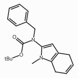 Cn1c(N(Cc2ccccc2)C(=O)OC(C)(C)C)cc2c1CC=CC2